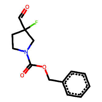 O=CC1(F)CCN(C(=O)OCc2ccccc2)C1